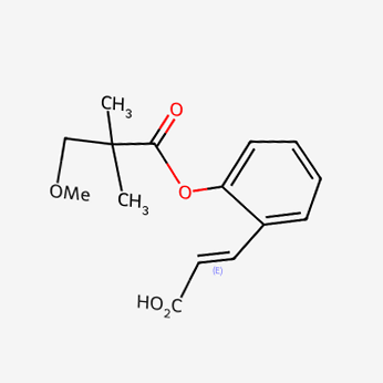 COCC(C)(C)C(=O)Oc1ccccc1/C=C/C(=O)O